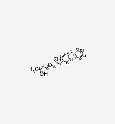 C/C(=C\c1ccc(Cc2cccnc2)cc1)COCCC(C)O